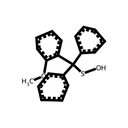 COc1ccccc1C(SO)(c1ccccc1)c1ccccc1